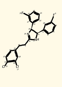 Fc1cccc([C@H]2NC(CCc3ccc(Cl)c(Cl)c3)=N[C@H]2c2cccc(F)c2)c1